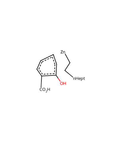 CCCCCCCC[CH2][Zn].O=C(O)c1ccccc1O